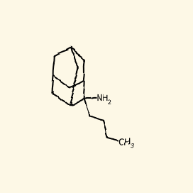 CCCCC1(N)C2CC3CC(C2)CC1C3